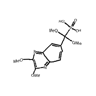 COc1nc2ccc(C(OC)(OC)P(=O)(O)O)cc2nc1OC